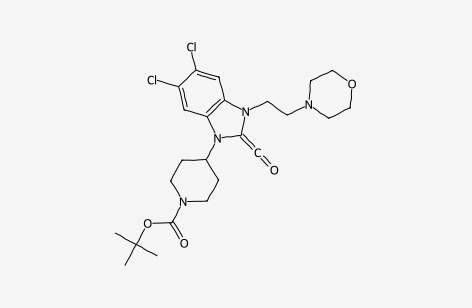 CC(C)(C)OC(=O)N1CCC(N2C(=C=O)N(CCN3CCOCC3)c3cc(Cl)c(Cl)cc32)CC1